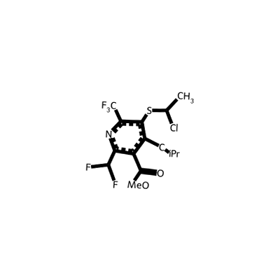 COC(=O)c1c(C(F)F)nc(C(F)(F)F)c(SC(C)Cl)c1CC(C)C